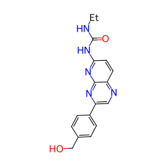 CCNC(=O)Nc1ccc2ncc(-c3ccc(CO)cc3)nc2n1